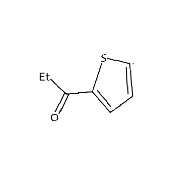 CCC(=O)c1cc[c]s1